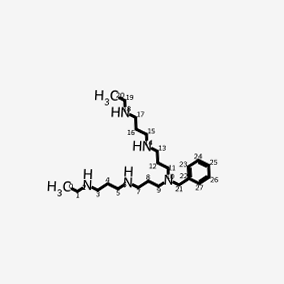 CCNCCCNCCCN(CCCNCCCNCC)Cc1ccccc1